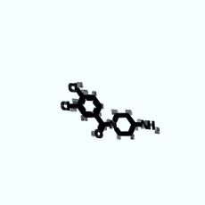 NC1CCN(C(=O)c2ccc(Cl)c(Cl)c2)CC1